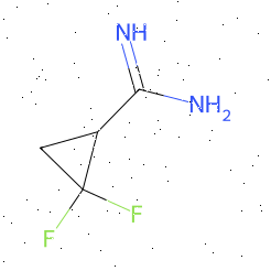 N=C(N)C1CC1(F)F